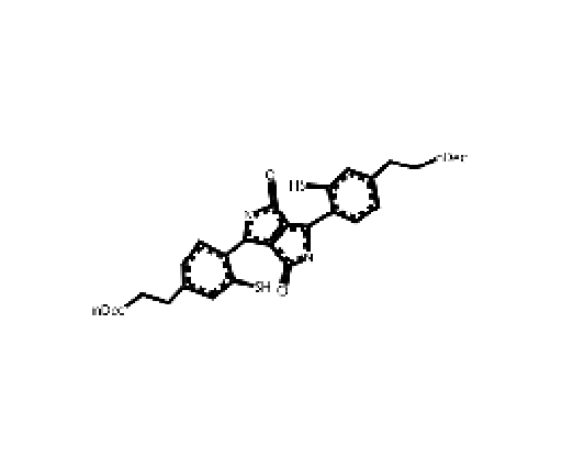 CCCCCCCCCCCCc1ccc(-c2nc(=O)c3c(-c4ccc(CCCCCCCCCCCC)cc4S)nc(=O)c2=3)c(S)c1